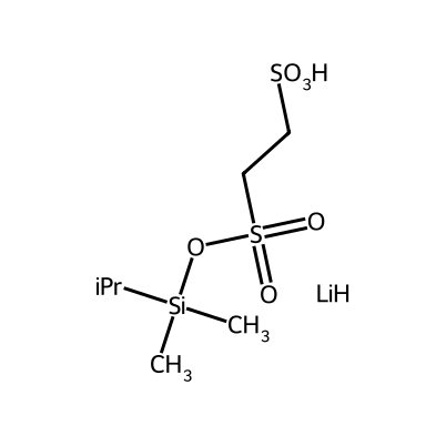 CC(C)[Si](C)(C)OS(=O)(=O)CCS(=O)(=O)O.[LiH]